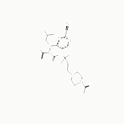 CC(=O)N1CCN(CCC(C)(C)OC(=O)N(C(C)=O)N(CC(C)C)c2ccnc(C#N)n2)CC1